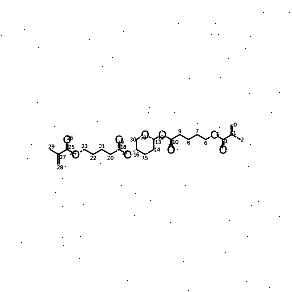 C=C(C)C(=O)OCCCCC(=O)OC1CC[C@H](OC(=O)CCCCOC(=O)C(=C)C)CO1